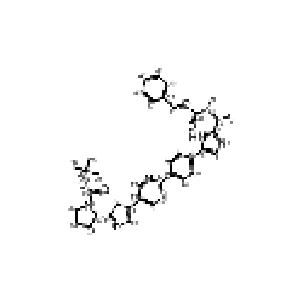 C[C@@H](c1ncc(-c2ccc(-c3ncc(C4=CN=C([C@@H]5CCCN5C(=O)OC(C)(C)C)C4)cn3)cc2)[nH]1)N(C)C(=O)OCc1ccccc1